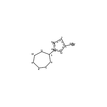 Brc1cnn(C2CCCCCC2)c1